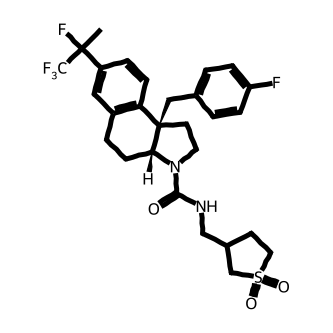 CC(F)(c1ccc2c(c1)CC[C@H]1N(C(=O)NCC3CCS(=O)(=O)C3)CC[C@@]21Cc1ccc(F)cc1)C(F)(F)F